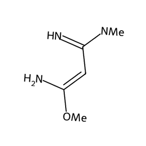 CNC(=N)/C=C(\N)OC